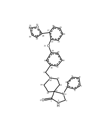 O=C1NCN(c2ccccc2)C12CCN(Cc1cccc(Oc3ccccc3-c3ccno3)c1)CC2